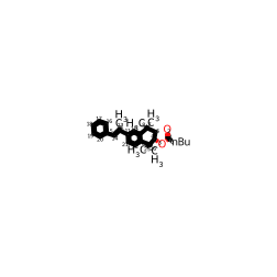 CCCCC(=O)OC1CC(C)(C)c2cc(/C(C)=C/c3ccccc3)ccc2C1(C)C